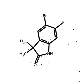 CC1(C)C(=O)Nc2cc(F)c(Br)cc21